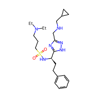 CCN(CC)CCCS(=O)(=O)N[C@H](CCc1ccccc1)c1nc(CNCC2CC2)n[nH]1